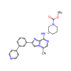 CC(C)(C)OC(=O)N1CCC[C@H](Nc2ncc(C#N)n3cc(-c4cccc(-c5ccncc5)c4)nc23)C1